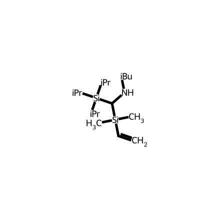 C=C[Si](C)(C)C(NC(C)CC)[Si](C(C)C)(C(C)C)C(C)C